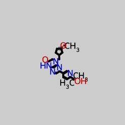 CO[C@H]1CCC(CN2CC(=O)Nc3ncc(-c4ccc(C(C)(C)O)nc4)nc32)C1